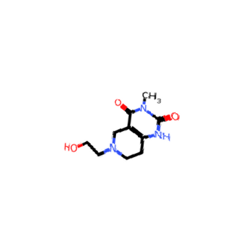 Cn1c(=O)[nH]c2c(c1=O)CN(CCO)CC2